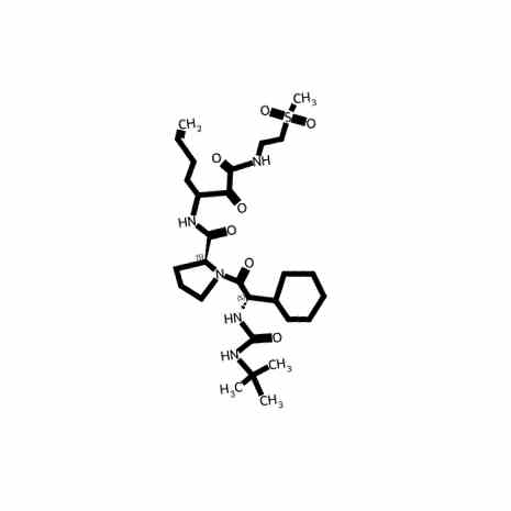 C=CCCC(NC(=O)[C@@H]1CCCN1C(=O)[C@@H](NC(=O)NC(C)(C)C)C1CCCCC1)C(=O)C(=O)NCCS(C)(=O)=O